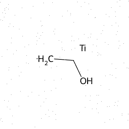 [CH2]CO.[Ti]